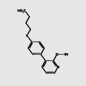 CC(C)Oc1ncccc1-c1ccc(SCCCC(=O)O)cc1